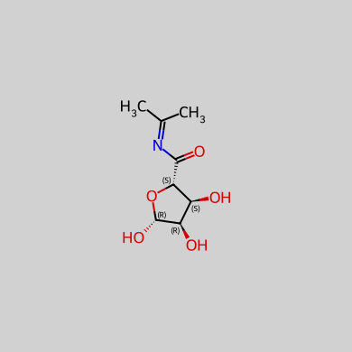 CC(C)=NC(=O)[C@H]1O[C@@H](O)[C@H](O)[C@@H]1O